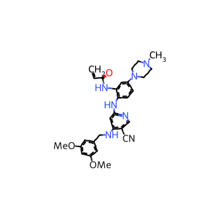 C=CC(=O)Nc1cc(N2CCN(C)CC2)ccc1Nc1cc(NCc2cc(OC)cc(OC)c2)c(C#N)cn1